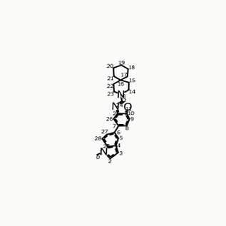 Cn1ccc2cc(-c3ccc4oc(N5CCC6(CCCCC6)CC5)nc4c3)ccc21